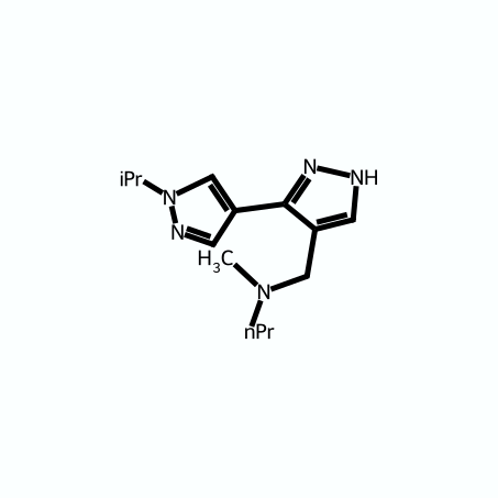 CCCN(C)Cc1c[nH]nc1-c1cnn(C(C)C)c1